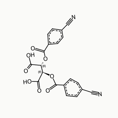 N#Cc1ccc(C(=O)O[C@@H](C(=O)O)[C@@H](OC(=O)c2ccc(C#N)cc2)C(=O)O)cc1